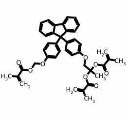 C=C(C)C(=O)OCOc1ccc(C2(c3ccc(OCC(C)(OC(=O)C(=C)C)OC(=O)C(=C)C)cc3)c3ccccc3-c3ccccc32)cc1